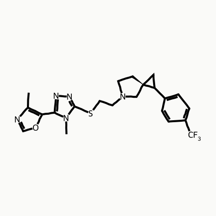 Cc1ncoc1-c1nnc(SCCN2CC[C@]3(CC3c3ccc(C(F)(F)F)cc3)C2)n1C